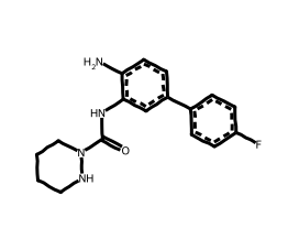 Nc1ccc(-c2ccc(F)cc2)cc1NC(=O)N1CCCCN1